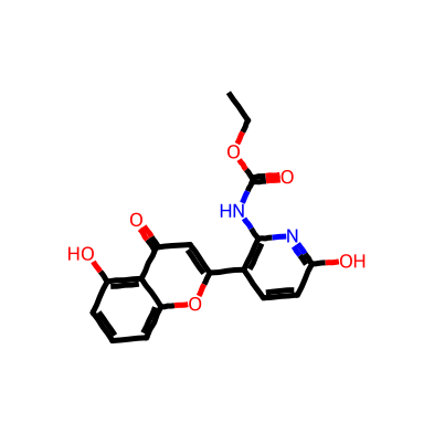 CCOC(=O)Nc1nc(O)ccc1-c1cc(=O)c2c(O)cccc2o1